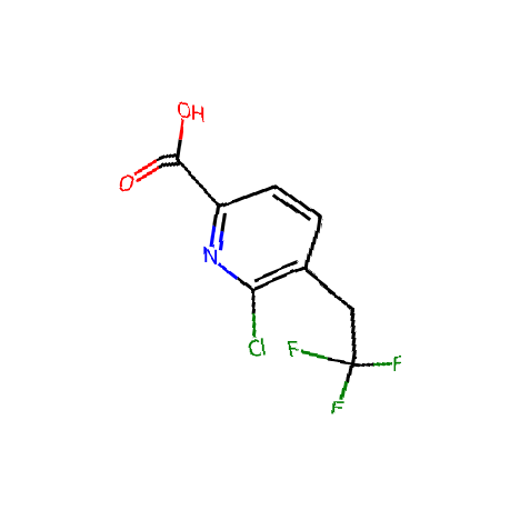 O=C(O)c1ccc(CC(F)(F)F)c(Cl)n1